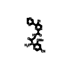 CCc1cnc(C(=O)NCC(=O)N(C)c2ncc(C#N)cc2OC)nc1-c1cnccn1